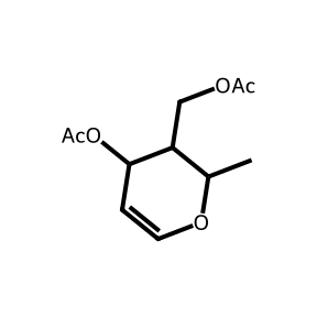 CC(=O)OCC1C(C)OC=CC1OC(C)=O